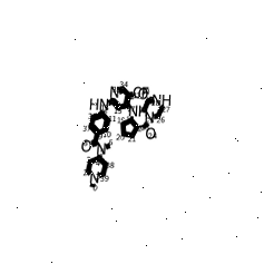 CN1CCC(N(C)C(=O)c2ccc(Nc3cc(N[C@@H]4CCC[C@@H]4C(=O)N4CCNC(=O)C4)c(C(F)(F)F)cn3)cc2)CC1